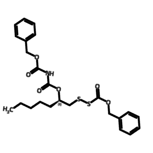 CCCCC[C@H](CSSC(=O)OCc1ccccc1)OC(=O)NC(=O)OCc1ccccc1